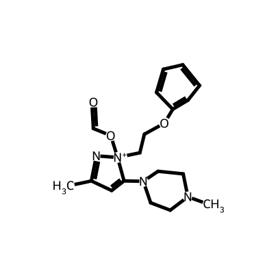 CC1=N[N+](CCOc2ccccc2)(OC=O)C(N2CCN(C)CC2)=C1